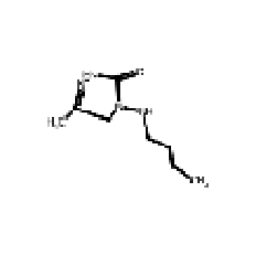 CCCCNN1CC(C)=NNC1=O